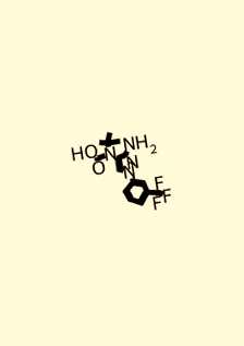 CC(C)(C)N(C(=O)O)c1cn(-c2cccc(C(F)(F)F)c2)nc1N